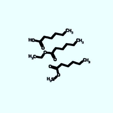 CCCCCC(=O)O.CCCCCC(=O)OCC.CCCCCC(=O)O[SiH3]